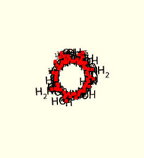 CCCC[C@H]1C(=O)N(C)[C@@H](CCCC)C(=O)N[C@@H](C)C(=O)N[C@H](C(=O)NCC(N)=O)CSCC(=O)N[C@@H](Cc2ccc(O)cc2)C(=O)N2CCCC[C@H]2C(=O)N[C@@H](CC(=O)O)C(=O)N2CCC[C@H]2C(=O)N[C@@H](Cc2cnc[nH]2)C(=O)N[C@@H](CCC(N)=O)C(=O)N2C[C@H](O)C[C@H]2C(=O)N[C@@H](Cc2c[nH]c3ccccc23)C(=O)N[C@@H](CO)C(=O)N[C@@H](Cc2cn(CC(=O)O)c3ccccc23)C(=O)N1C